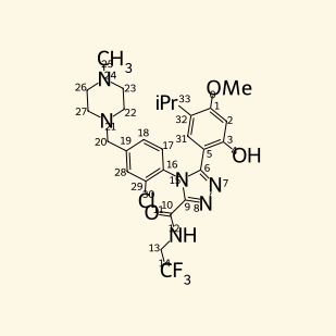 COc1cc(O)c(-c2nnc(C(=O)NCC(F)(F)F)n2-c2ccc(CN3CCN(C)CC3)cc2Cl)cc1C(C)C